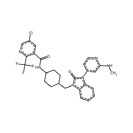 CNc1cc(-n2c(=O)n(CC3CCC(NC(=O)c4cc(Cl)cnc4C(F)(F)F)CC3)c3ccccc32)ccn1